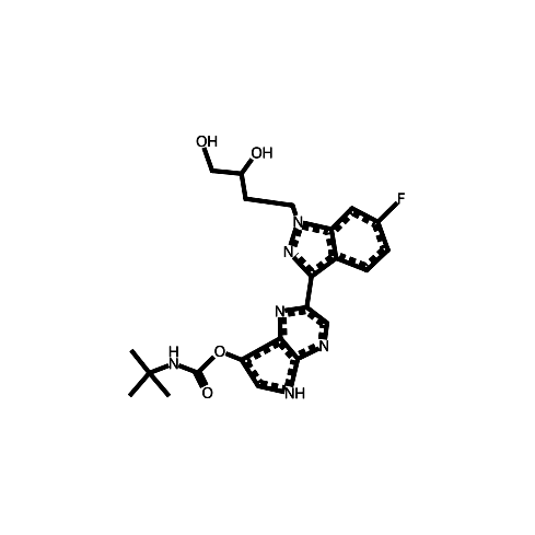 CC(C)(C)NC(=O)Oc1c[nH]c2ncc(-c3nn(CCC(O)CO)c4cc(F)ccc34)nc12